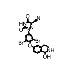 N#Cc1nn(-c2cc(Br)c(Oc3ccc4c(c3)CCNC4O)c(Br)c2)c(=O)[nH]c1=O